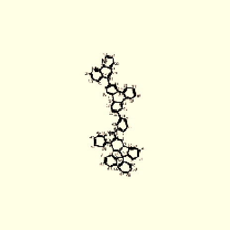 C1=C2C(Cc3c(-c4cccc(-c5ccc6c7ccc(-c8cc9cccnc9c9ncccc89)cc7c7ccccc7c6c5)c4)nc4ccccc4c31)c1ccccc1C2(c1ccccc1)c1ccccc1